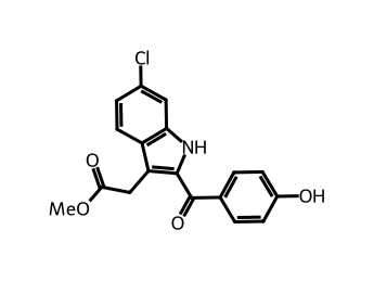 COC(=O)Cc1c(C(=O)c2ccc(O)cc2)[nH]c2cc(Cl)ccc12